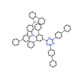 c1ccc(-c2ccc(-c3nc(-c4ccc(-c5ccccc5)cc4)nc(-c4cc(-c5ccccc5)c(-n5c6ccc(-c7ccccc7)cc6c6ccc(C7c8ccccc8-c8ccccc87)cc65)c(-c5ccccc5)c4)n3)cc2)cc1